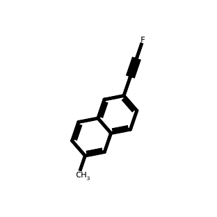 Cc1ccc2cc(C#CF)ccc2c1